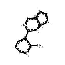 Nc1ncccc1-c1ncc2ncsc2n1